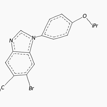 Cc1cc2ncn(-c3ccc(OC(C)C)cc3)c2cc1Br